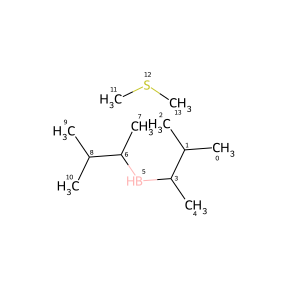 CC(C)C(C)BC(C)C(C)C.CSC